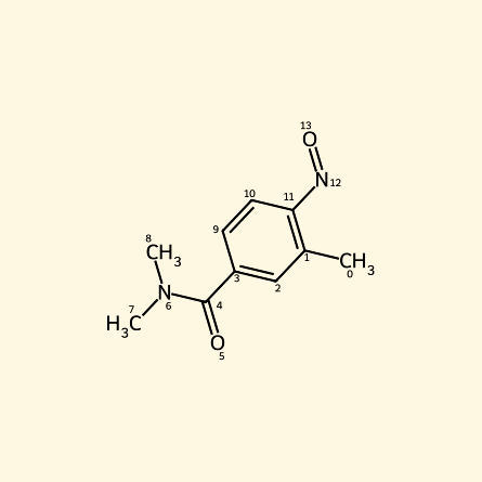 Cc1cc(C(=O)N(C)C)ccc1N=O